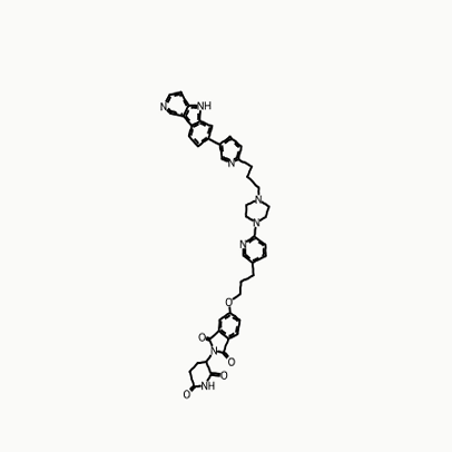 O=C1CCC(N2C(=O)c3ccc(OCCCc4ccc(N5CCN(CCCc6ccc(-c7ccc8c(c7)[nH]c7ccncc78)cn6)CC5)nc4)cc3C2=O)C(=O)N1